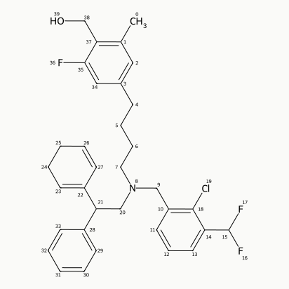 Cc1cc(CCCCN(Cc2cccc(C(F)F)c2Cl)CC(C2=CCCC=C2)c2ccccc2)cc(F)c1CO